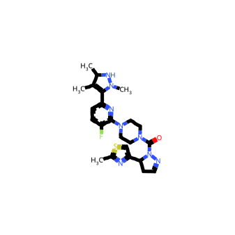 CC1=C(c2ccc(F)c(N3CCN(C(=O)N4N=CCC4c4csc(C)n4)CC3)n2)N(C)NC1C